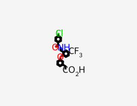 O=C(O)Cc1cccc(Oc2ccc(C(F)(F)F)cc2CNC(=O)c2ccc(Cl)cc2)c1